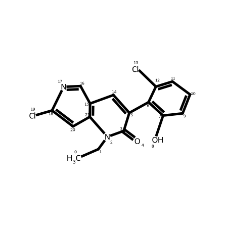 CCn1c(=O)c(-c2c(O)cccc2Cl)cc2cnc(Cl)cc21